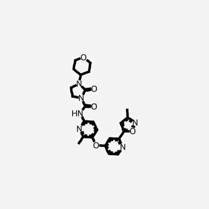 Cc1cc(-c2cc(Oc3ccc(NC(=O)N4CCN(C5CCOCC5)C4=O)nc3C)ccn2)on1